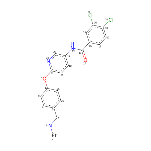 CC[N]Cc1ccc(Oc2ccc(NC(=O)c3ccc(Cl)c(Cl)c3)cn2)cc1